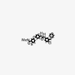 CNC(=O)c1cc(Oc2ccc(NC(=O)Nc3ccc(Cl)c(CN4CCOCC4)c3)cc2)ccc1F